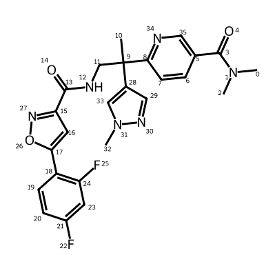 CN(C)C(=O)c1ccc(C(C)(CNC(=O)c2cc(-c3ccc(F)cc3F)on2)c2cnn(C)c2)nc1